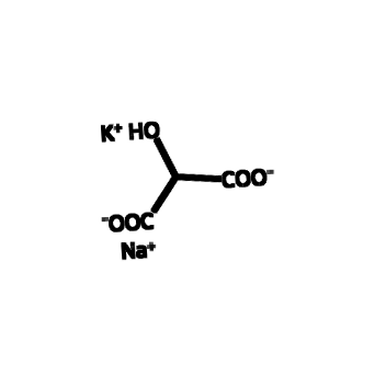 O=C([O-])C(O)C(=O)[O-].[K+].[Na+]